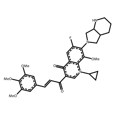 COc1cc(C=CC(=O)c2cn(C3CC3)c3c(OC)c(N4CC5CCCNC5C4)c(F)cc3c2=O)cc(OC)c1OC